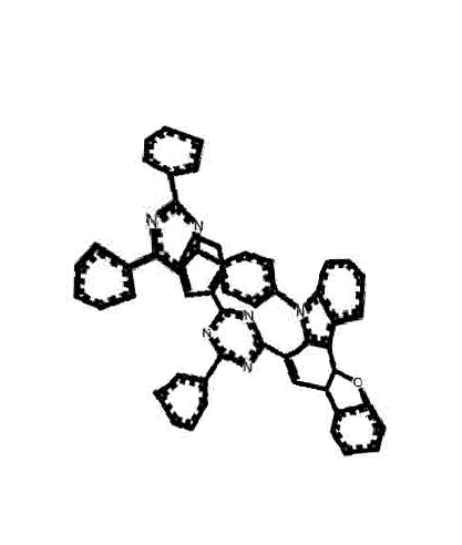 C1=CC(c2nc(C3=CC4c5ccccc5OC4c4c3n(-c3ccc(-c5cc(-c6ccccc6)nc(-c6ccccc6)n5)cc3)c3ccccc43)nc(-c3ccccc3)n2)=CCC1